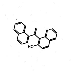 C=C(c1cccc2ccccc12)c1c(O)ccc2ccccc12